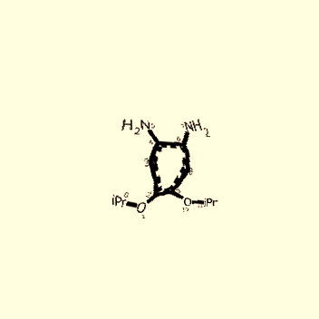 CC(C)Oc1cc(N)c(N)cc1OC(C)C